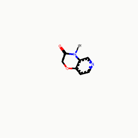 CC(C)N1C(=O)COc2ccncc21